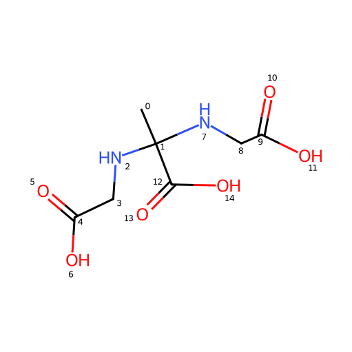 CC(NCC(=O)O)(NCC(=O)O)C(=O)O